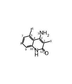 Cc1c(N)c2c(I)cccc2[nH]c1=O